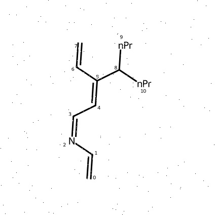 C=C/N=C\C=C(/C=C)C(CCC)CCC